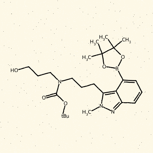 Cn1nc2cccc(B3OC(C)(C)C(C)(C)O3)c2c1CCCN(CCCO)C(=O)OC(C)(C)C